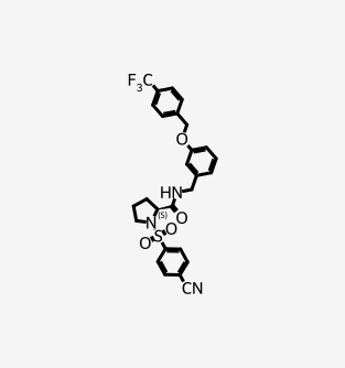 N#Cc1ccc(S(=O)(=O)N2CCC[C@H]2C(=O)NCc2cccc(OCc3ccc(C(F)(F)F)cc3)c2)cc1